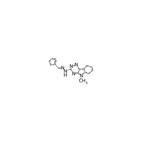 Cn1c2ccccc2c2nnc(N/N=C/c3cccs3)nc21